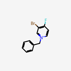 Fc1cc[n+](Cc2ccccc2)cc1Br